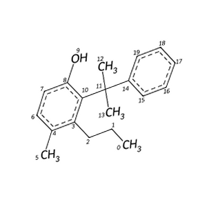 CCCc1c(C)ccc(O)c1C(C)(C)c1ccccc1